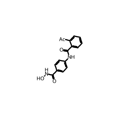 CC(=O)c1ccccc1C(=O)Nc1ccc(C(=O)NO)cc1